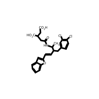 CC(NC(=O)CC(CC(=O)O)C(=O)O)C(/C=C/c1cc2ccccc2o1)Cc1ccc(Cl)c(Cl)c1